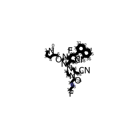 CN1CCCC1COc1nc(N2CCN(C(=O)/C=C/CF)C(CC#N)C2)c2cnc(-c3cccc4cccc(Cl)c34)c(F)c2n1